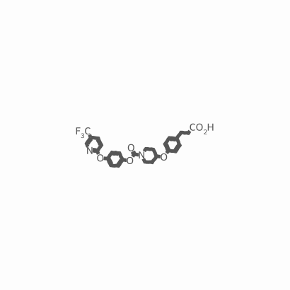 O=C(O)CCc1ccc(OC2CCN(C(=O)Oc3ccc(Oc4ccc(C(F)(F)F)cn4)cc3)CC2)cc1